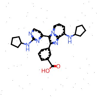 O=C(O)c1cccc(-c2nc3c(NC4CCCC4)cccn3c2-c2ccnc(NC3CCCC3)n2)c1